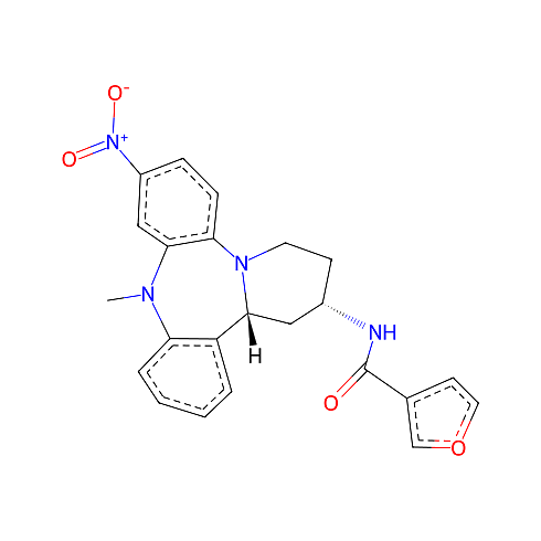 CN1c2ccccc2[C@H]2C[C@@H](NC(=O)c3ccoc3)CCN2c2ccc([N+](=O)[O-])cc21